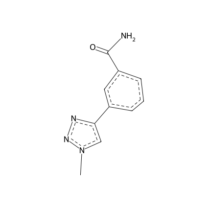 Cn1cc(-c2cccc(C(N)=O)c2)nn1